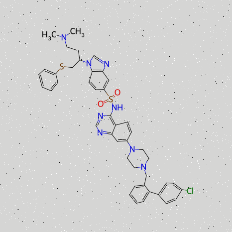 CN(C)CCC(CSc1ccccc1)n1cnc2cc(S(=O)(=O)Nc3ncnc4cc(N5CCN(Cc6ccccc6-c6ccc(Cl)cc6)CC5)ccc34)ccc21